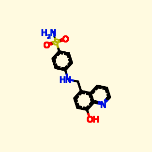 NS(=O)(=O)c1ccc(NCc2ccc(O)c3ncccc23)cc1